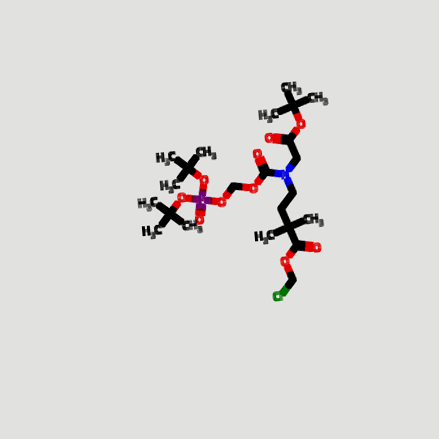 CC(C)(C)OC(=O)CN(CCC(C)(C)C(=O)OCCl)C(=O)OCOP(=O)(OC(C)(C)C)OC(C)(C)C